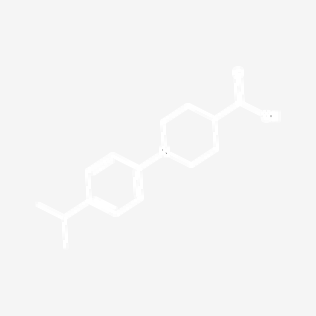 CC(C)c1ccc(N2CCC(C(=O)O)CC2)cc1